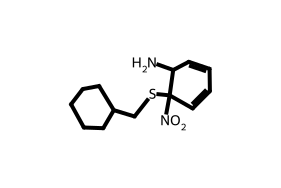 NC1C=CC=CC1(SCC1CCCCC1)[N+](=O)[O-]